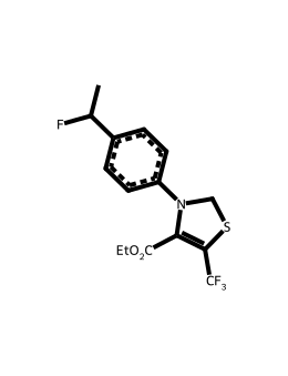 CCOC(=O)C1=C(C(F)(F)F)SCN1c1ccc(C(C)F)cc1